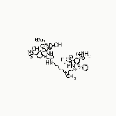 Cc1ncsc1-c1ccc([C@H](CC(=O)NCCCCCCN(C)CC[C@H](CSc2ccccc2)Nc2ccc(S(N)(=O)=O)cc2S(=O)(=O)C(F)(F)F)NC(=O)[C@@H]2C[C@@H](O)CN2C(=O)CC(C)(C)C)cc1